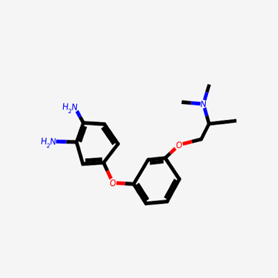 CC(COc1cccc(Oc2ccc(N)c(N)c2)c1)N(C)C